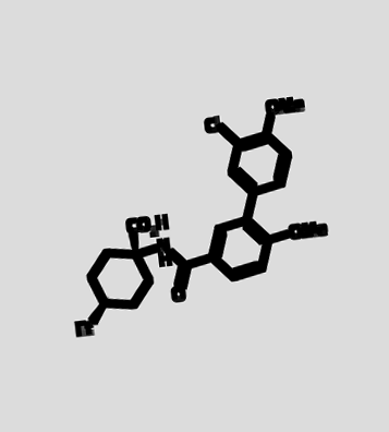 CC[C@H]1CC[C@@](NC(=O)c2ccc(OC)c(-c3ccc(OC)c(Cl)c3)c2)(C(=O)O)CC1